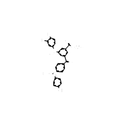 COC(=O)c1cc(C(=O)c2ccc(N(C)c3ccc(Cl)cc3)cc2)cc([S+]([O-])c2ccc(F)c(F)c2)c1